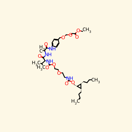 C=CCC[C@H]1[C@@H](CCCC)[C@H]1COC(=O)NCCOCCOC(=O)N[C@H](C(=O)N[C@@H](C)C(=O)Nc1ccc(COCOCC(=O)OCC)cc1)C(C)C